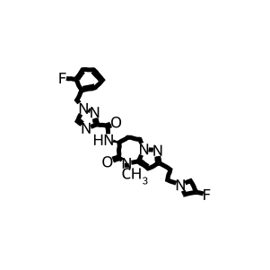 CN1C(=O)[C@@H](NC(=O)c2ncn(Cc3ccccc3F)n2)CCn2nc(CCN3CC(F)C3)cc21